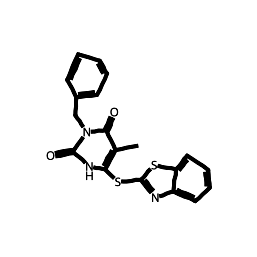 Cc1c(Sc2nc3ccccc3s2)[nH]c(=O)n(Cc2ccccc2)c1=O